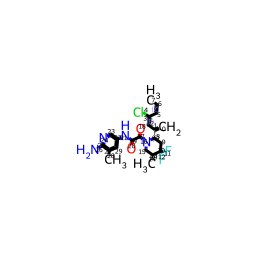 C=C(/C=C(Cl)\C=C/C)[C@@H]1CC(F)(F)[C@@H](C)CN1C(=O)C(=O)Nc1cnc(N)c(C)c1